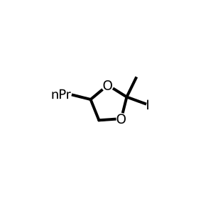 CCCC1COC(C)(I)O1